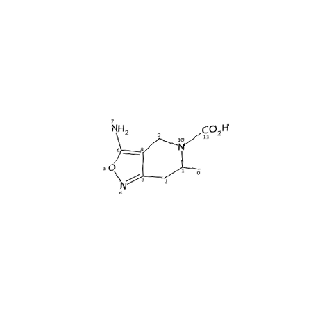 CC1Cc2noc(N)c2CN1C(=O)O